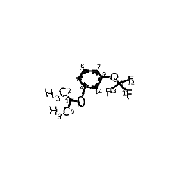 CC(C)Oc1c[c]cc(OC(F)(F)F)c1